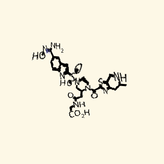 CC1Cc2nc(C(=O)N3CCN(S(=O)(=O)c4cc5cc(/C(N)=N\O)ccc5[nH]4)CC3CC(=O)NCC(=O)O)sc2CN1